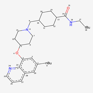 CCCCc1cc(OC2CCN(CC3CCC(C(=O)NCC(C)(C)C)CC3)CC2)c2ncccc2c1